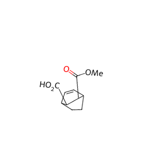 COC(=O)C1C2C=CC(CC2)C1C(=O)O